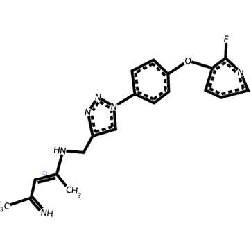 C/C(=C\C(=N)C(F)(F)F)NCc1cn(-c2ccc(Oc3cccnc3F)cc2)nn1